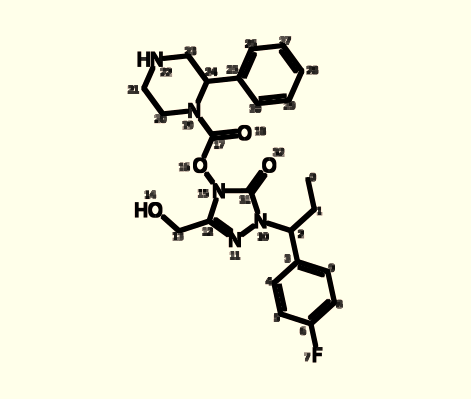 CCC(c1ccc(F)cc1)n1nc(CO)n(OC(=O)N2CCNCC2c2ccccc2)c1=O